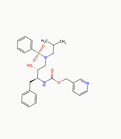 CC(C)CN(C[C@@H](O)[C@H](Cc1ccccc1)NC(=O)OCc1cccnc1)S(=O)(=O)c1ccccc1